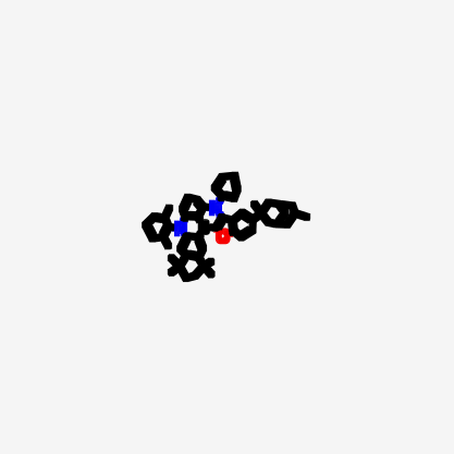 Cc1cccc(C)c1N1c2cc3c(cc2B2c4oc5ccc(C6(C)CC7CC(C)CC(C7)C6)cc5c4N(c4ccccc4)c4cccc1c42)C(C)(C)CCC3(C)C